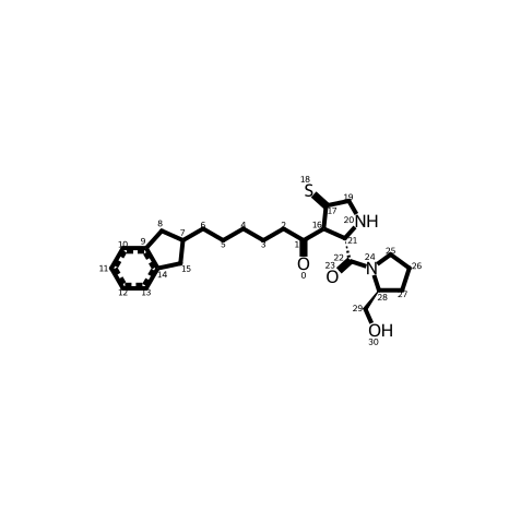 O=C(CCCCCC1Cc2ccccc2C1)C1C(=S)CN[C@@H]1C(=O)N1CCC[C@H]1CO